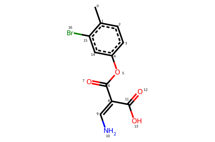 Cc1ccc(OC(=O)C(=CN)C(=O)O)cc1Br